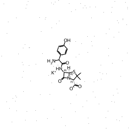 CC1(C)S[C@@H]2[C@H](NC(=O)C(N)c3ccc(O)cc3)C(=O)N2[C@H]1C(=O)[O-].[K+]